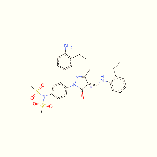 CCc1ccccc1N.CCc1ccccc1N/C=C1/C(=O)N(c2ccc(N(S(C)(=O)=O)S(C)(=O)=O)cc2)N=C1C